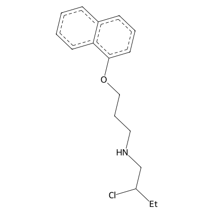 CCC(Cl)CNCCCOc1cccc2ccccc12